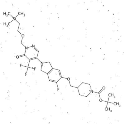 CC(C)(C)OC(=O)N1CCC(COc2cc3c(cc2F)CN(c2cnn(COCC[Si](C)(C)C)c(=O)c2C(F)(F)F)C3)CC1